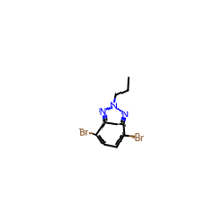 CCCn1nc2c(Br)ccc(Br)c2n1